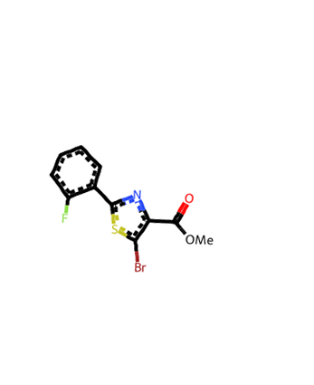 COC(=O)c1nc(-c2ccccc2F)sc1Br